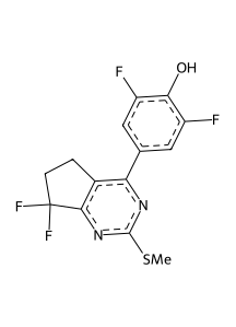 CSc1nc(-c2cc(F)c(O)c(F)c2)c2c(n1)C(F)(F)CC2